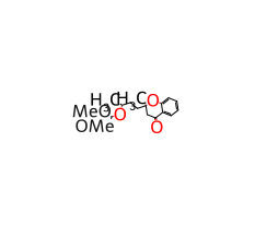 COC(OC)OC(C)CCC1(C)CC(=O)c2ccccc2O1